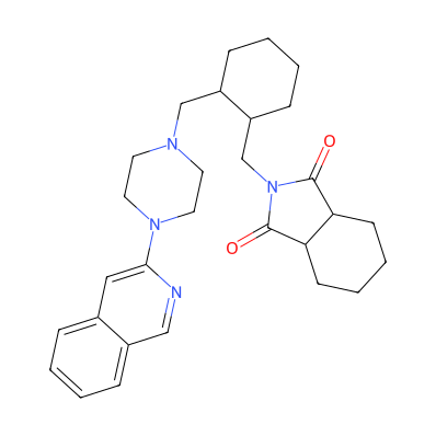 O=C1C2CCCCC2C(=O)N1CC1CCCCC1CN1CCN(c2cc3ccccc3cn2)CC1